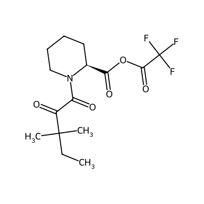 CCC(C)(C)C(=O)C(=O)N1CCCC[C@H]1C(=O)OC(=O)C(F)(F)F